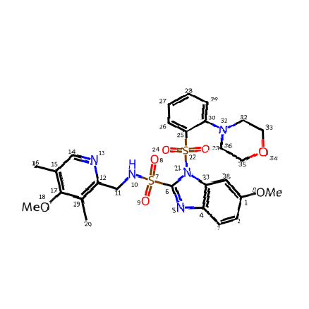 COc1ccc2nc(S(=O)(=O)NCc3ncc(C)c(OC)c3C)n(S(=O)(=O)c3ccccc3N3CCOCC3)c2c1